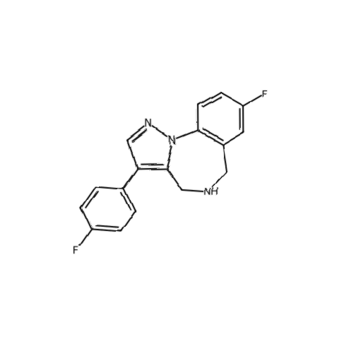 Fc1ccc(-c2cnn3c2CNCc2cc(F)ccc2-3)cc1